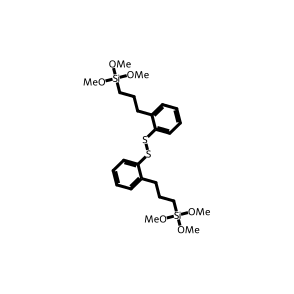 CO[Si](CCCc1ccccc1SSc1ccccc1CCC[Si](OC)(OC)OC)(OC)OC